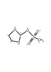 CS(=O)(=O)OP1OCCO1